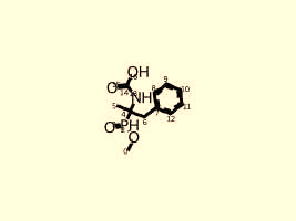 CO[PH](=O)C(C)(Cc1ccccc1)NC(=O)O